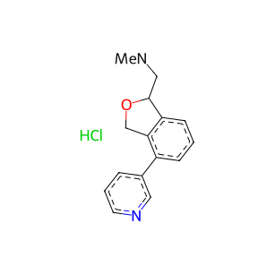 CNCC1OCc2c(-c3cccnc3)cccc21.Cl